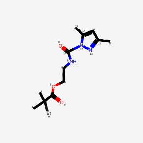 CCC(C)(C)C(=O)OCCNC(=O)n1nc(C)cc1C